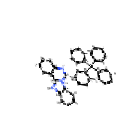 c1ccc(C2(c3ccccc3)c3ccccc3-c3ccc(-c4nc5ccccc5c5nc6ccccc6n45)cc32)cc1